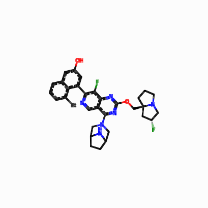 CCc1cccc2cc(O)cc(-c3ncc4c(N5CC6CCC(C5)N6)nc(OC[C@@]56CCCN5C[C@H](F)C6)nc4c3F)c12